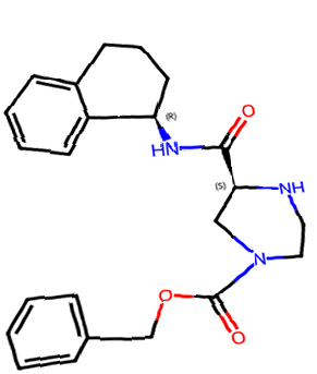 O=C(N[C@@H]1CCCc2ccccc21)[C@@H]1CN(C(=O)OCc2ccccc2)CCN1